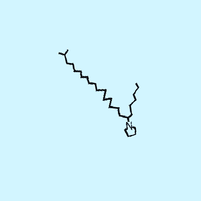 CCCCCCC(CCCCCCCCCCCCCCCC(C)C)N1CCCC1